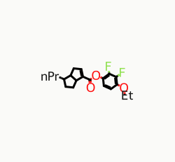 CCCC1CCC2C(C(=O)Oc3ccc(OCC)c(F)c3F)=CCC12